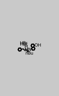 Br.Br.CCCCC(CNc1cccc2c(O)cccc12)NCCc1ccccc1